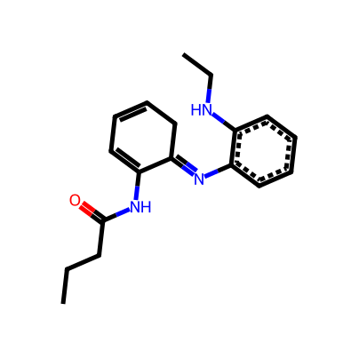 CCCC(=O)NC1=CC=CC/C1=N\c1ccccc1NCC